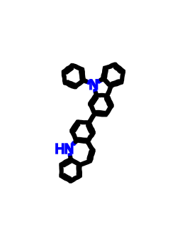 C1=Cc2cc(-c3ccc4c5ccccc5n(-c5ccccc5)c4c3)ccc2Nc2ccccc21